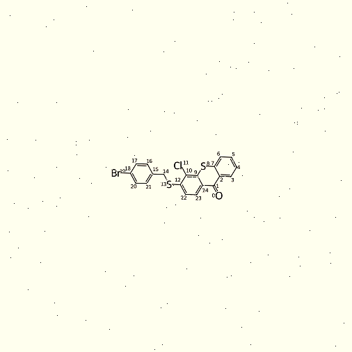 O=c1c2ccccc2sc2c(Cl)c(SCc3ccc(Br)cc3)ccc12